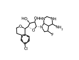 NC1NCNC2C1C(F)CN2[C@@H]1O[C@H]([C@@H]2OCCc3cc(Cl)ccc32)[C@@H](O)[C@H]1O